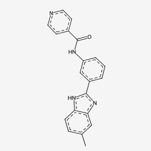 Cc1ccc2[nH]c(-c3cccc(NC(=O)c4ccncc4)c3)nc2c1